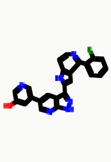 Oc1cncc(-c2cnc3[nH]nc(-c4cc5c(-c6ccccc6F)nccc5[nH]4)c3c2)c1